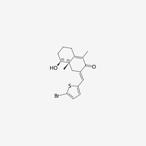 CC1=C2CCC[C@H](O)[C@@]2(C)CC(=Cc2ccc(Br)s2)C1=O